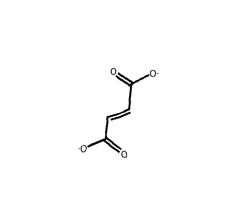 [O]C(=O)/C=C/C([O])=O